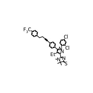 CCc1c(C2=NC(=S)C(C)(C)N2C)nn(-c2ccc(Cl)cc2Cl)c1-c1ccc(C#CCCc2ccc(C(F)(F)F)cc2)cc1